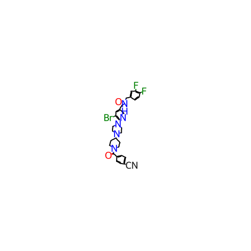 N#Cc1ccc(C(=O)N2CCC(N3CCN(c4ncc(C(=O)NCc5ccc(F)c(F)c5)cc4Br)CC3)CC2)cc1